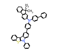 CC1(C)C2=C(C=CCC2)c2ccc(N(c3ccc(-c4ccccc4)cc3)c3ccc(-c4ccc5c(c4)c4c6ccccc6sc4n5-c4ccccc4)cc3)cc21